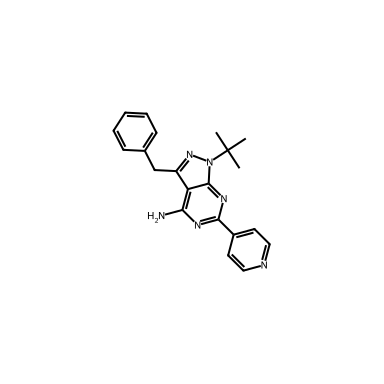 CC(C)(C)n1nc(Cc2ccccc2)c2c(N)nc(-c3ccncc3)nc21